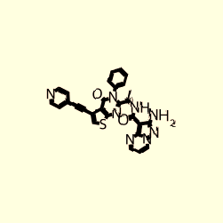 C[C@@H](NC(=O)c1c(N)nn2cccnc12)c1nc2scc(C#Cc3ccncc3)c2c(=O)n1-c1ccccc1